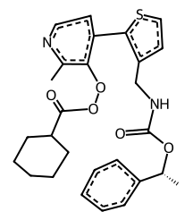 Cc1nccc(-c2sccc2CNC(=O)O[C@H](C)c2ccccc2)c1OOC(=O)C1CCCCC1